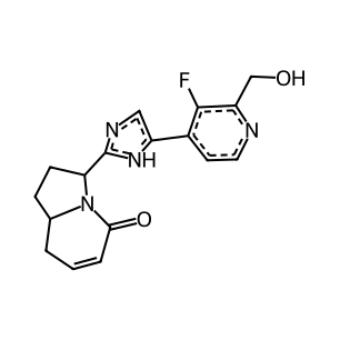 O=C1C=CCC2CCC(c3ncc(-c4ccnc(CO)c4F)[nH]3)N12